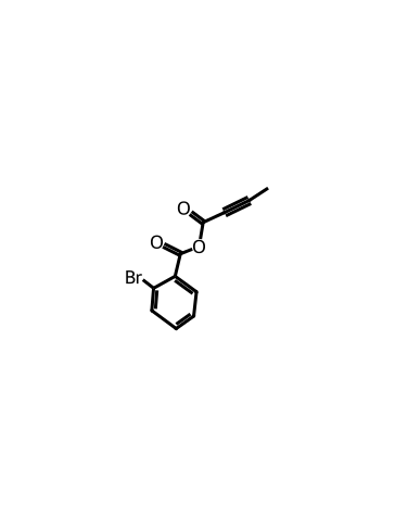 CC#CC(=O)OC(=O)c1ccccc1Br